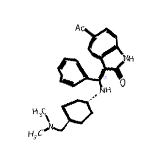 CC(=O)c1ccc2c(c1)/C(=C(/N[C@H]1CC[C@H](CN(C)C)CC1)c1ccccc1)C(=O)N2